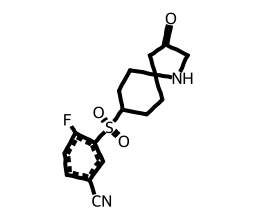 N#Cc1ccc(F)c(S(=O)(=O)C2CCC3(CC2)CC(=O)CN3)c1